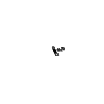 [Mn].[Ni].[O]=[Co]